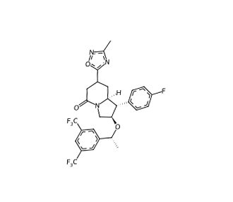 Cc1noc(C2CC(=O)N3C[C@H](O[C@H](C)c4cc(C(F)(F)F)cc(C(F)(F)F)c4)[C@@H](c4ccc(F)cc4)[C@@H]3C2)n1